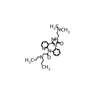 CCCN(CCC)CC(=O)N1c2ccccc2-n2c(nn(CCN(C)C)c2=O)-c2cccnc21